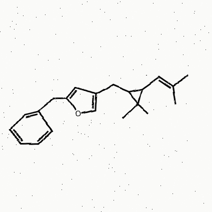 CC(C)=CC1C(Cc2coc(Cc3ccccc3)c2)C1(C)C